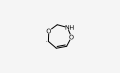 [CH]1C=CONCO1